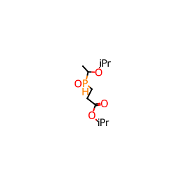 CC(C)OC(=O)CC[PH](=O)C(C)OC(C)C